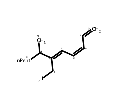 C=C/C=C\C=C(/CI)C(C)CCCCC